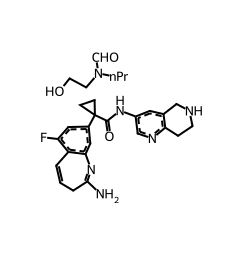 CCCN(C=O)CCO.NC1=Nc2cc(C3(C(=O)Nc4cnc5c(c4)CNCC5)CC3)cc(F)c2C=CC1